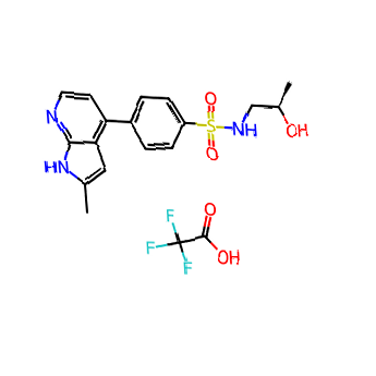 Cc1cc2c(-c3ccc(S(=O)(=O)NC[C@@H](C)O)cc3)ccnc2[nH]1.O=C(O)C(F)(F)F